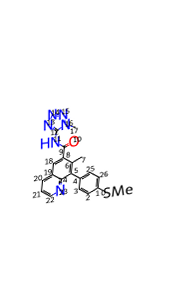 CSc1ccc(-c2c(C)c(C(=O)Nc3nnnn3C)cc3cccnc23)cc1